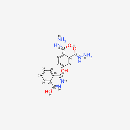 NNC(=O)c1ccccc1C(=O)NN.Oc1nnc(O)c2ccccc12